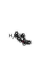 Nc1ccccc1NC(=O)c1ccc(OCCN(OCCC2COCCN2)C(=O)c2cc3ccccc3o2)cc1